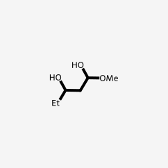 CCC(O)CC(O)OC